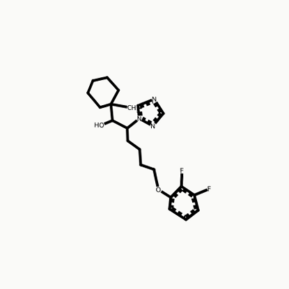 CC1(C(O)C(CCCCOc2cccc(F)c2F)n2cncn2)CCCCC1